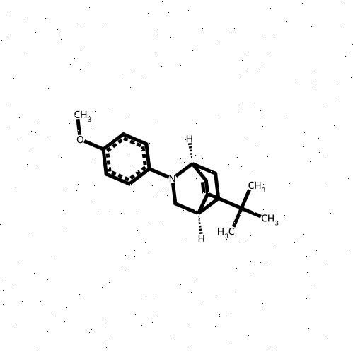 COc1ccc(N2C[C@@H]3CC[C@H]2C=C3C(C)(C)C)cc1